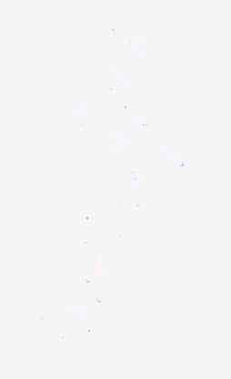 CN1CCN(c2cncc3[nH]c(-c4n[nH]c5ccc(-c6cccc(OCCN7CCCC7)c6)nc45)nc23)CC1